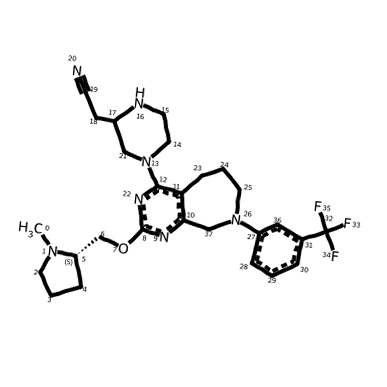 CN1CCC[C@H]1COc1nc2c(c(N3CCNC(CC#N)C3)n1)CCCN(c1cccc(C(F)(F)F)c1)C2